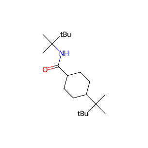 CC(C)(C)C(C)(C)NC(=O)C1CCC(C(C)(C)C(C)(C)C)CC1